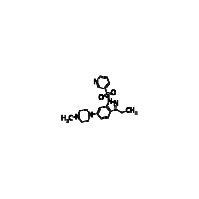 CCc1nn(S(=O)(=O)c2cccnc2)c2cc(N3CCN(C)CC3)ccc12